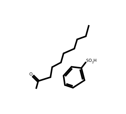 CCCCCCCCC(C)=O.O=S(=O)(O)c1ccccc1